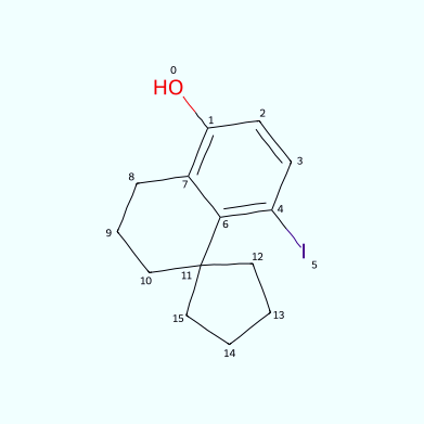 Oc1ccc(I)c2c1CCCC21CCCC1